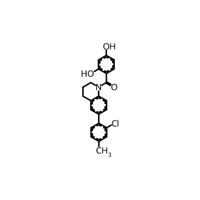 Cc1ccc(-c2ccc3c(c2)CCCN3C(=O)c2ccc(O)cc2O)c(Cl)c1